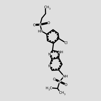 CCCS(=O)(=O)Nc1ccc(Cl)c(-c2nc3ncc(NS(=O)(=O)C(C)C)cc3[nH]2)c1